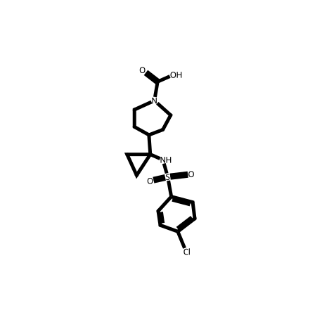 O=C(O)N1CCC(C2(NS(=O)(=O)c3ccc(Cl)cc3)CC2)CC1